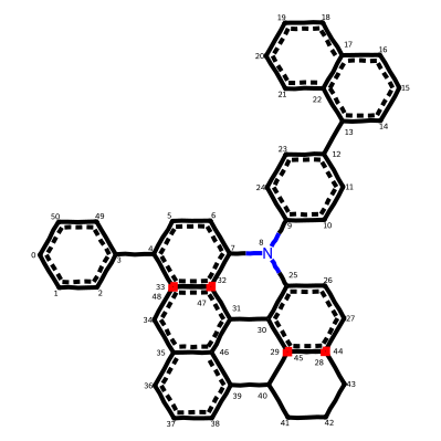 c1ccc(-c2ccc(N(c3ccc(-c4cccc5ccccc45)cc3)c3ccccc3-c3cccc4cccc(C5CCCCC5)c34)cc2)cc1